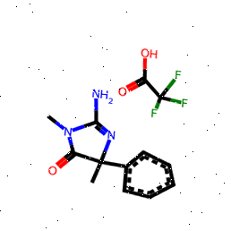 CN1C(=O)C(C)(c2ccccc2)N=C1N.O=C(O)C(F)(F)F